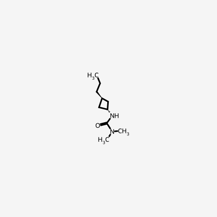 CCC[C@H]1C[C@H](NC(=O)N(C)C)C1